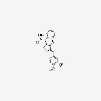 COc1ccc(/C=C2\CCc3c2nc2ccccc2c3C(=O)O)cc1OC